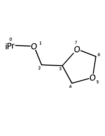 CC(C)OCC1COCO1